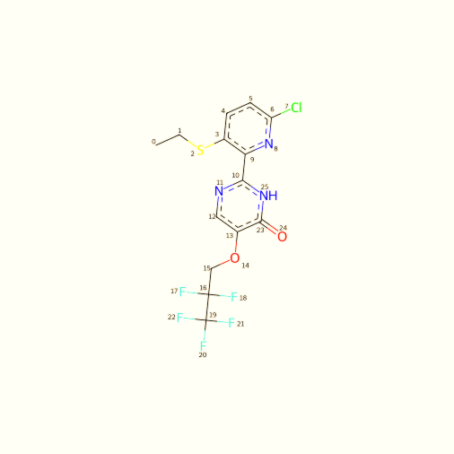 CCSc1ccc(Cl)nc1-c1ncc(OCC(F)(F)C(F)(F)F)c(=O)[nH]1